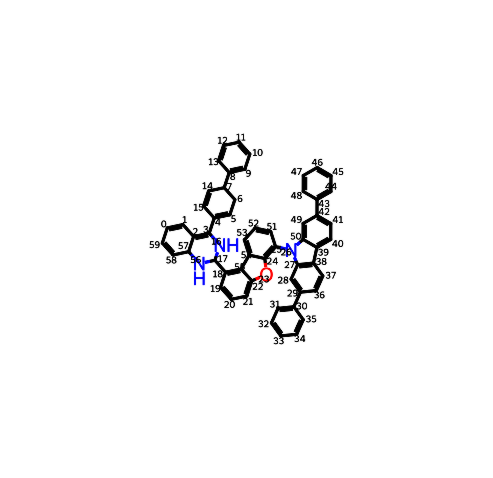 C1=CC2=C(C3=CCC(c4ccccc4)C=C3)NC(c3cccc4oc5c(-n6c7cc(-c8ccccc8)ccc7c7ccc(-c8ccccc8)cc76)cccc5c34)NC2C=C1